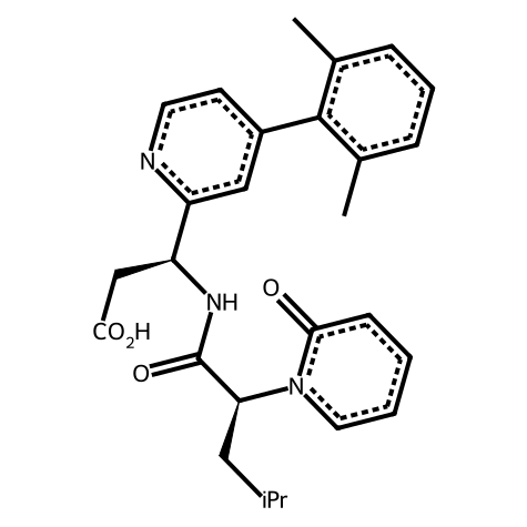 Cc1cccc(C)c1-c1ccnc([C@H](CC(=O)O)NC(=O)[C@H](CC(C)C)n2ccccc2=O)c1